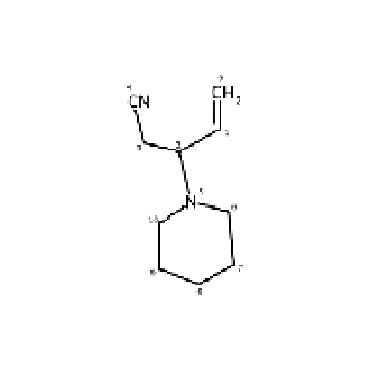 C=CC(CC#N)N1CCCCC1